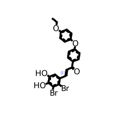 CCOc1ccc(Oc2ccc(C(=O)/C=C/c3cc(O)c(O)c(Br)c3Br)cc2)cc1